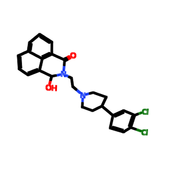 O=C1c2cccc3cccc(c23)C(O)N1CCN1CCC(c2ccc(Cl)c(Cl)c2)CC1